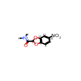 CN(C)C(=O)C1Oc2ccc([N+](=O)[O-])cc2O1